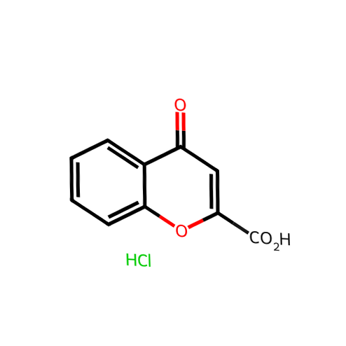 Cl.O=C(O)c1cc(=O)c2ccccc2o1